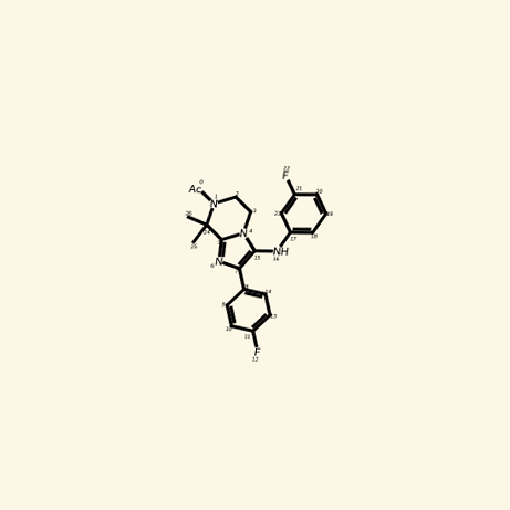 CC(=O)N1CCn2c(nc(-c3ccc(F)cc3)c2Nc2cccc(F)c2)C1(C)C